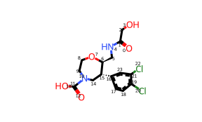 O=C(CO)NC[C@@H]1OCCN(C(=O)O)C[C@H]1c1ccc(Cl)c(Cl)c1